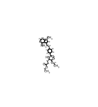 CCOC(=O)CC[C@@H](NC(=O)c1ccc(CCc2cn(C)c3ncnc(N)c23)cc1)C(=O)OCC